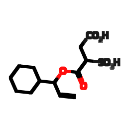 C=CC(OC(=O)C(CC(=O)O)S(=O)(=O)O)C1CCCCC1